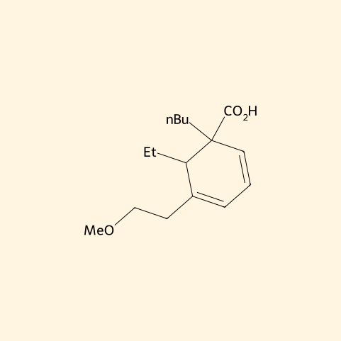 CCCCC1(C(=O)O)C=CC=C(CCOC)C1CC